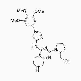 COc1cc(-n2cnc(Nc3nc(N4CCC[C@H]4CO)nc4c3CCNC4)c2)cc(OC)c1OC